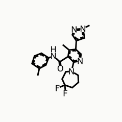 Cc1cccc(NC(=O)c2c(N3CCCC(F)(F)CC3)ncc(-c3cnn(C)c3)c2C)c1